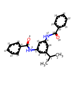 CC(C)c1cc(NC(=O)c2ccccc2)cc(NC(=O)c2ccccc2)c1